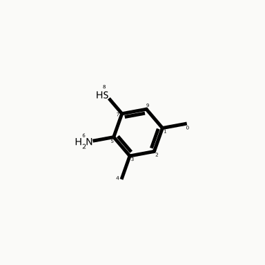 Cc1cc(C)c(N)c(S)c1